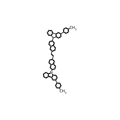 Cc1ccc(-c2ccc3c(c2)-c2ccccc2C3c2ccc3cc(/C=C/c4ccc5cc(-n6c7ccccc7c7cc(-c8ccc(C)cc8)ccc76)ccc5c4)ccc3c2)cc1